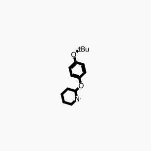 CC(C)(C)Oc1ccc(OC2CCCC[N]2)cc1